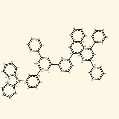 c1ccc(-c2cc(-c3cccc(-c4cc5ccccc5c5c(-c6ccccc6)cc(-c6ccccc6)nc45)c3)nc(-c3cccc(-n4c5ccccc5c5ccccc54)c3)n2)cc1